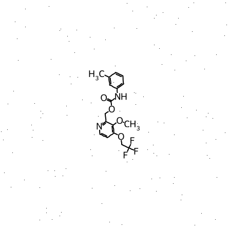 COc1c(OCC(F)(F)F)ccnc1COC(=O)Nc1cccc(C)c1